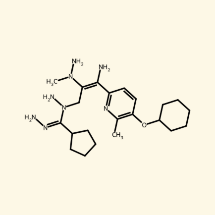 Cc1nc(/C(N)=C(\CN(N)/C(=N\N)C2CCCC2)N(C)N)ccc1OC1CCCCC1